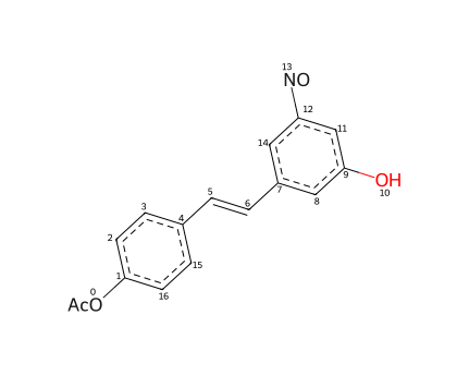 CC(=O)Oc1ccc(/C=C/c2cc(O)cc(N=O)c2)cc1